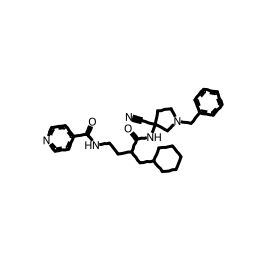 N#CC1(NC(=O)C(CCNC(=O)c2ccncc2)CC2CCCCC2)CCN(Cc2ccccc2)C1